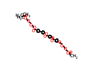 C=CC(=O)OCCOCCOCCOc1ccc(C(=O)Oc2ccc(C(=O)Oc3ccc(-c4ccc(C(=O)OCCOCCOCCOC(=O)C(C)(C)C)cc4)cc3)cc2)cc1